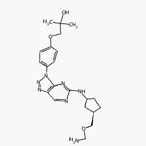 CC(C)(O)COc1ccc(-n2nnc3cnc(NC4CC[C@@H](COCN)C4)nc32)cc1